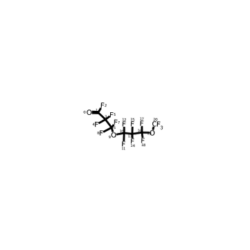 O=C(F)C(F)(F)C(F)(F)OC(F)(F)C(F)(F)C(F)(F)OC(F)(F)F